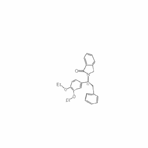 CCOc1ccc([C@H](Cc2ccccc2)N2Cc3ccccc3C2=O)cc1OCC